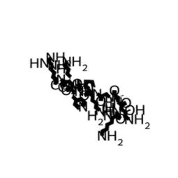 C[C@H](NC(=O)[C@@H](NC(=O)[C@@H](N)CCCCN)[C@@H](O)CN)C(=O)NCC(=O)/N=C(\CCCN)C(=O)N1CCC[C@H]1C(=O)N[C@@H](Cc1ccncc1)C(=O)N[C@@H](CCCCN)C(=O)N/C(=C\CCNC(=N)N)C(=O)O